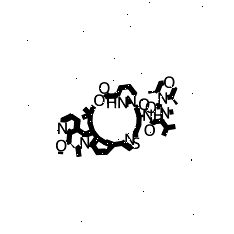 CCn1c(-c2cccnc2[C@H](C)OC)c2c3cc(ccc31)-c1csc(n1)C[C@H](NC(=O)C(C(C)C)N(C)C(=O)N1[C@H](C)COC[C@@H]1C)C(=O)N1CCC[C@H](N1)C(=O)OCC(C)(C)C2